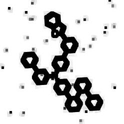 c1ccc(-c2cccc(N(c3ccc(-c4cccc(-c5cc6ccccc6o5)c4)cc3)c3ccc(-c4ccccc4-c4ccccc4-c4ccccc4)cc3)c2)cc1